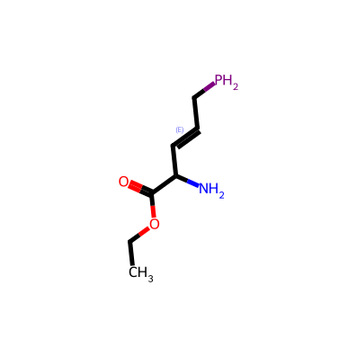 CCOC(=O)C(N)/C=C/CP